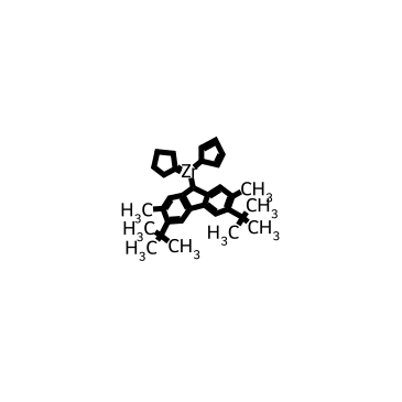 Cc1cc2c(cc1C(C)(C)C)-c1cc(C(C)(C)C)c(C)cc1[CH]2[Zr](=[C]1CCCC1)[CH]1C=CC=C1